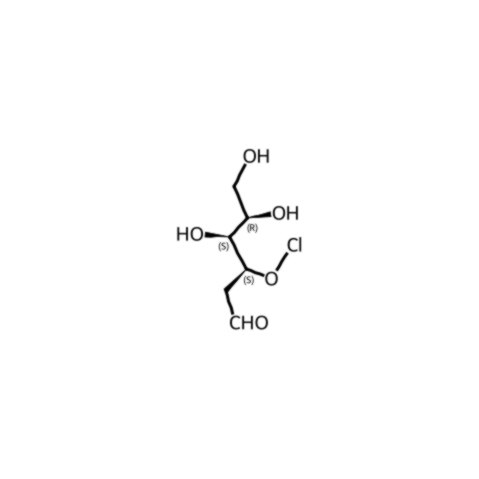 O=CC[C@H](OCl)[C@@H](O)[C@H](O)CO